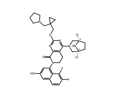 O=C1c2nc(OCC3(CN4CCCC4)CC3)nc(N3C[C@H]4CC[C@@H](C3)N4)c2CCN1c1cc(O)cc2ccc(F)c(F)c12